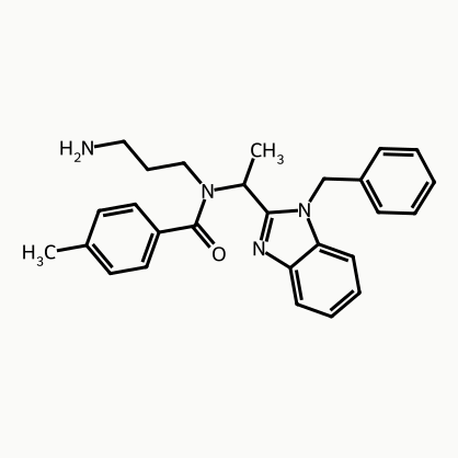 Cc1ccc(C(=O)N(CCCN)C(C)c2nc3ccccc3n2Cc2ccccc2)cc1